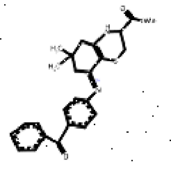 COC(=O)C1CSC2=C(CC(C)(C)C/C2=N\c2ccc(C(=O)c3ccccc3)cc2)N1